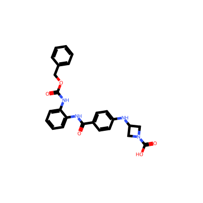 O=C(Nc1ccccc1NC(=O)c1ccc(NC2CN(C(=O)O)C2)cc1)OCc1ccccc1